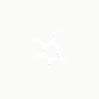 COc1cc(C)n(C)c(=O)c1Br